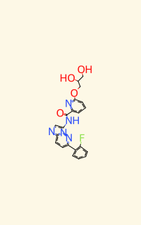 O=C(Nc1cnc2ccc(-c3ccccc3F)nn12)c1cccc(OCC(O)CO)n1